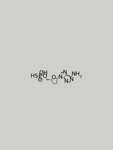 Nc1ncnc2c1ncn2C1CC[C@@H](COP(=O)(O)S)O1